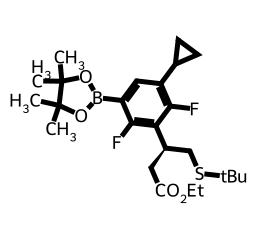 CCOC(=O)C[C@H](CSC(C)(C)C)c1c(F)c(B2OC(C)(C)C(C)(C)O2)cc(C2CC2)c1F